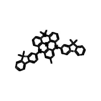 Cc1cc2c3c(c1)N(c1ccc4c(c1)C(C)(C)c1ccccc1-4)c1cccc4c1B3c1c(cccc1[Si]4(C)C)N2c1ccc2c(c1)C(C)(C)c1ccccc1-2